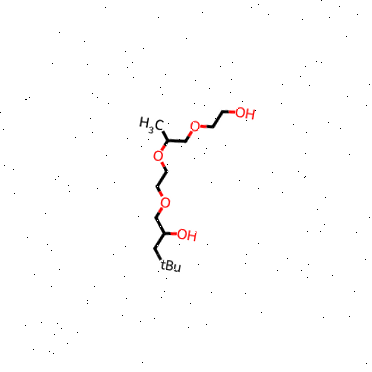 CC(COCCO)OCCOCC(O)CC(C)(C)C